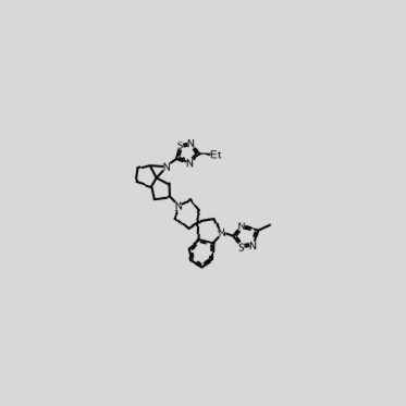 CCc1nsc(N2C3CCC4CC(N5CCC6(CC5)CN(c5nc(C)ns5)c5ccccc56)CC432)n1